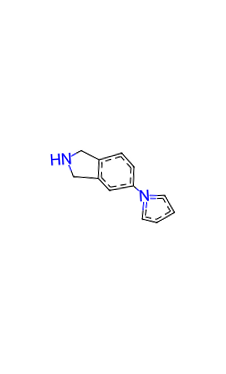 c1ccn(-c2ccc3c(c2)CNC3)c1